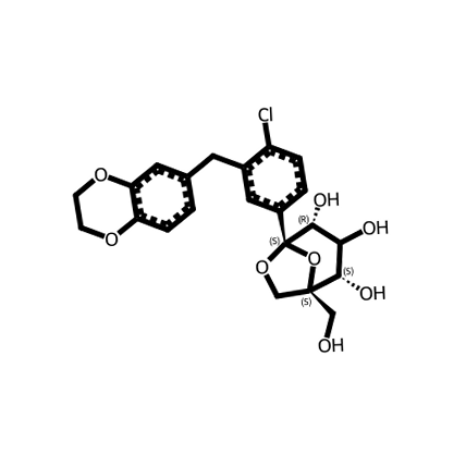 OC[C@@]12CO[C@@](c3ccc(Cl)c(Cc4ccc5c(c4)OCCO5)c3)(O1)[C@H](O)C(O)[C@@H]2O